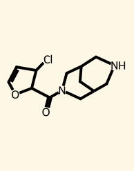 O=C(C1OC=CC1Cl)N1CC2CNCC(C2)C1